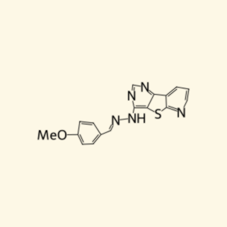 COc1ccc(C=NNc2ncnc3c2sc2ncccc23)cc1